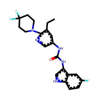 CCc1cc(NC(=O)Nc2c[nH]c3ccc(F)cc23)cnc1N1CCC(F)(F)CC1